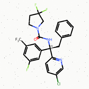 O=C(N[C@@](Cc1ccccc1)(c1cc(F)cc(C(F)(F)F)c1)c1ccc(Cl)cn1)N1CCC(F)(F)C1